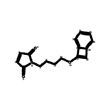 O=C1C=CC(=O)N1CCCCOC1=Cc2ccccc21